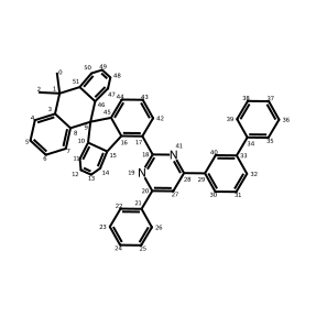 CC1(C)c2ccccc2C2(c3ccccc3-c3c(-c4nc(-c5ccccc5)cc(-c5cccc(-c6ccccc6)c5)n4)cccc32)c2ccccc21